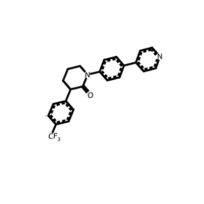 O=C1C(c2c[c]c(C(F)(F)F)cc2)CCCN1c1ccc(-c2ccncc2)cc1